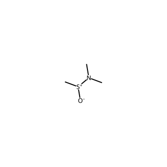 CN(C)[S+](C)[O-]